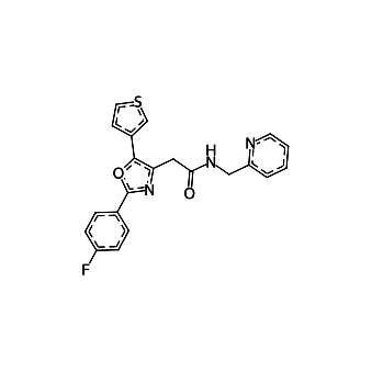 O=C(Cc1nc(-c2ccc(F)cc2)oc1-c1ccsc1)NCc1ccccn1